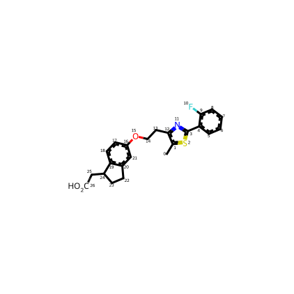 Cc1sc(-c2ccccc2F)nc1CCOc1ccc2c(c1)CCC2CC(=O)O